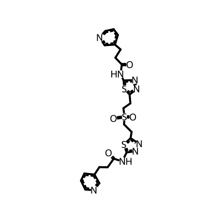 O=C(CCc1cccnc1)Nc1nnc(CCS(=O)(=O)CCc2nnc(NC(=O)CCc3cccnc3)s2)s1